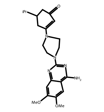 COc1cc2nc(N3CCN(C4=CC(=O)CC(C(C)C)C4)CC3)nc(N)c2cc1OC